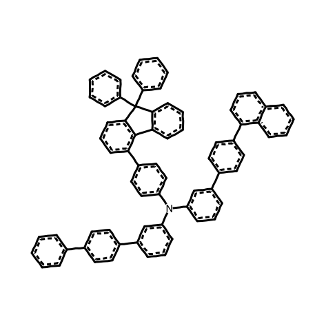 c1ccc(-c2ccc(-c3cccc(N(c4ccc(-c5cccc6c5-c5ccccc5C6(c5ccccc5)c5ccccc5)cc4)c4cccc(-c5ccc(-c6cccc7ccccc67)cc5)c4)c3)cc2)cc1